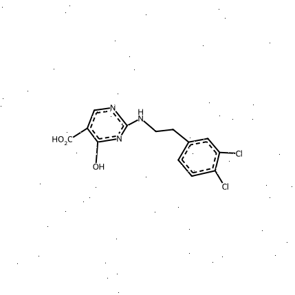 O=C(O)c1cnc(NCCc2ccc(Cl)c(Cl)c2)nc1O